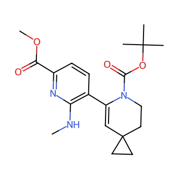 CNc1nc(C(=O)OC)ccc1C1=CC2(CCN1C(=O)OC(C)(C)C)CC2